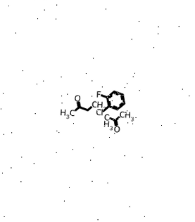 CC(C)=O.CCC(C)=O.Fc1ccccc1Cl